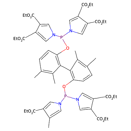 CCOC(=O)c1cn(P(Oc2ccc(C)c(C)c2-c2c(OP(n3cc(C(=O)OCC)c(C(=O)OCC)c3)n3cc(C(=O)OCC)c(C(=O)OCC)c3)ccc(C)c2C)n2cc(C(=O)OCC)c(C(=O)OCC)c2)cc1C